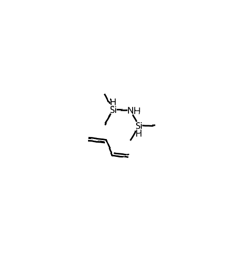 C=CC=C.C[SiH](C)N[SiH](C)C